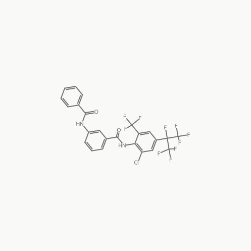 O=C(Nc1cccc(C(=O)Nc2c(Cl)cc(C(F)(C(F)(F)F)C(F)(F)F)cc2C(F)(F)F)c1)c1ccccc1